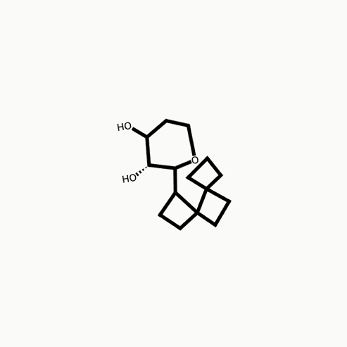 OC1CCOC(C2CCC23CCC32CCC2)[C@@H]1O